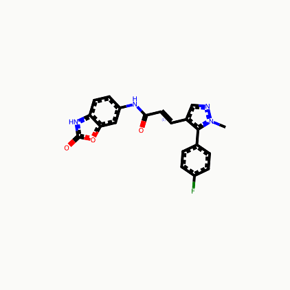 Cn1ncc(/C=C/C(=O)Nc2ccc3[nH]c(=O)oc3c2)c1-c1ccc(F)cc1